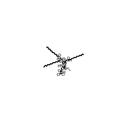 CCCCCCCCCCCC(=O)N[C@@H](CS)C(=O)N(C[C@H](COC(=O)CCCCCCCCCCC)OC(=O)CCCCCCCCCCC)[C@@H](C)C(=O)N[C@H](CCC(=O)O)C(N)=O.ClCCl